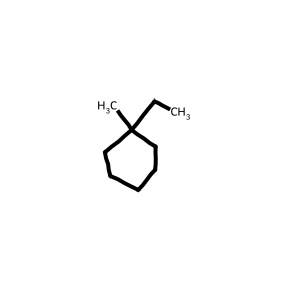 C[CH]C1(C)CCCCC1